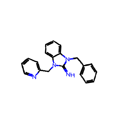 N=c1n(Cc2ccccc2)c2ccccc2n1Cc1ccccn1